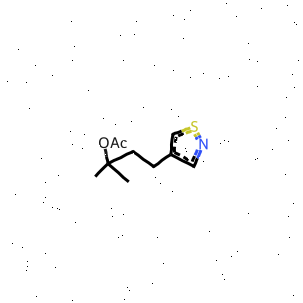 CC(=O)OC(C)(C)CCc1cnsc1